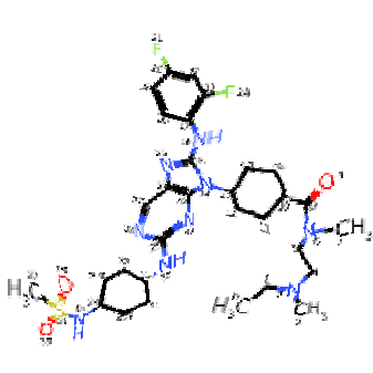 CCN(C)CCN(C)C(=O)[C@H]1CC[C@@H](n2c(Nc3ccc(F)cc3F)nc3cnc(N[C@H]4CC[C@H](NS(C)(=O)=O)CC4)nc32)CC1